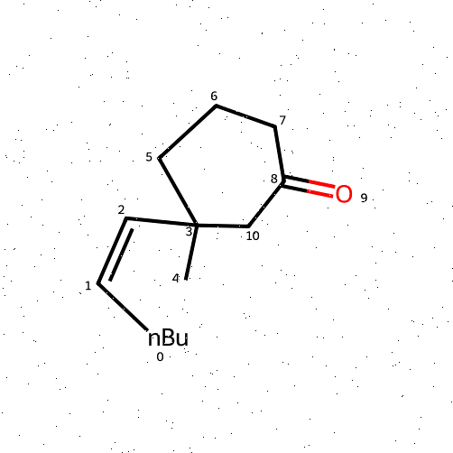 CCCC/C=C\C1(C)CCCC(=O)C1